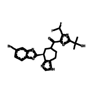 CC(C)(O)c1nc(C(F)F)c(C(=O)C2CCc3[nH]cnc3[C@@H](c3nc4cc(Br)ccc4o3)C2)o1